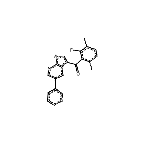 Cc1ccc(F)c(C(=O)c2c[nH]c3ncc(-c4cccnc4)cc23)c1F